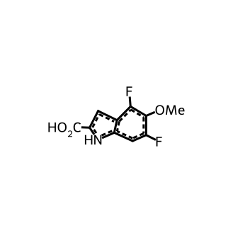 COc1c(F)cc2[nH]c(C(=O)O)cc2c1F